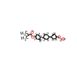 C=C(C)C(=O)Oc1ccc(-c2ccc(-c3ccc(OC=O)cc3)cc2)c(F)c1